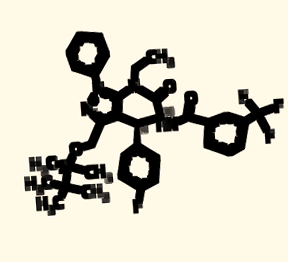 CCN1C(=O)[C@H](NC(=O)c2cccc(C(F)(F)F)c2)[C@@H](c2ccc(F)cc2)c2c(CO[Si](C)(C)C(C)(C)C)nn(-c3ccccc3)c21